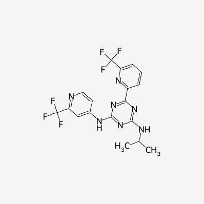 CC(C)Nc1nc(Nc2ccnc(C(F)(F)F)c2)nc(-c2cccc(C(F)(F)F)n2)n1